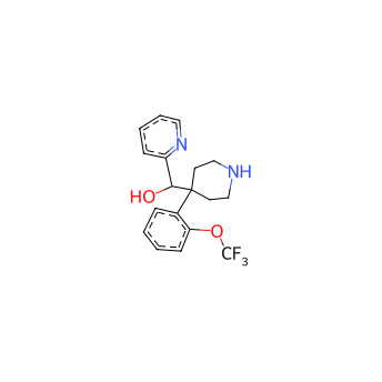 OC(c1ccccn1)C1(c2ccccc2OC(F)(F)F)CCNCC1